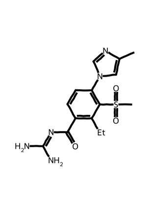 CCc1c(C(=O)N=C(N)N)ccc(-n2cnc(C)c2)c1S(C)(=O)=O